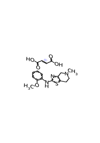 COc1ccccc1Nc1nc2c(s1)CCN(C)C2.O=C(O)/C=C/C(=O)O